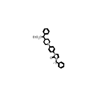 CCOC(=O)C(c1ccccc1)C1CCN(c2ccc(-n3ccn([C@@H](C)c4ccccc4)c3=O)cc2)CC1